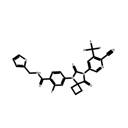 N#Cc1ncc(N2C(=O)C3(CCC3)N(c3ccc(C(=O)NCc4cccs4)c(F)c3)C2=S)cc1C(F)(F)F